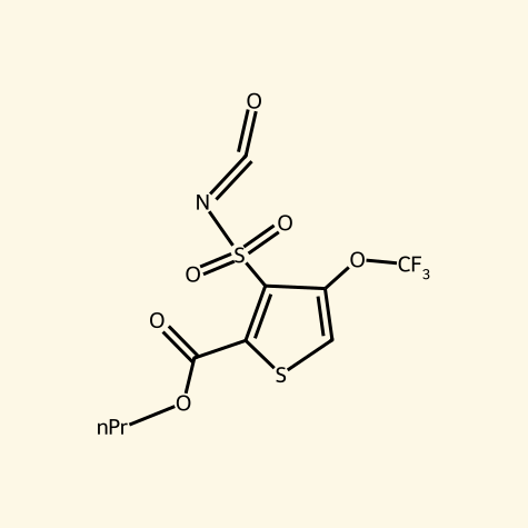 CCCOC(=O)c1scc(OC(F)(F)F)c1S(=O)(=O)N=C=O